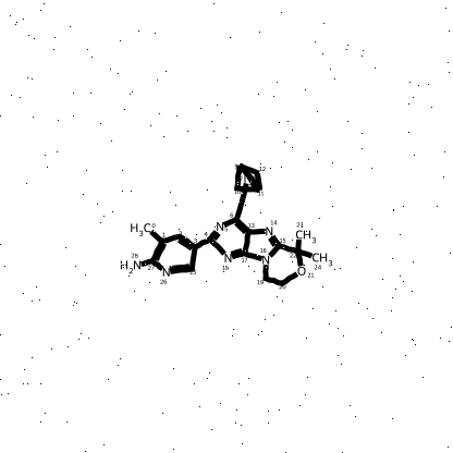 Cc1cc(-c2nc(N3CC4CC3C4)c3nc4n(c3n2)CCOC4(C)C)cnc1N